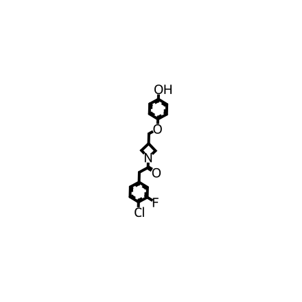 O=C(Cc1ccc(Cl)c(F)c1)N1CC(COc2ccc(O)cc2)C1